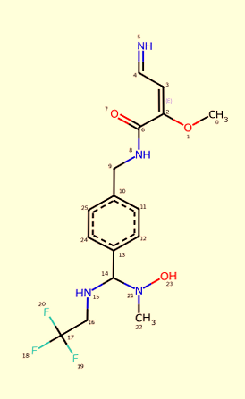 CO/C(=C/C=N)C(=O)NCc1ccc(C(NCC(F)(F)F)N(C)O)cc1